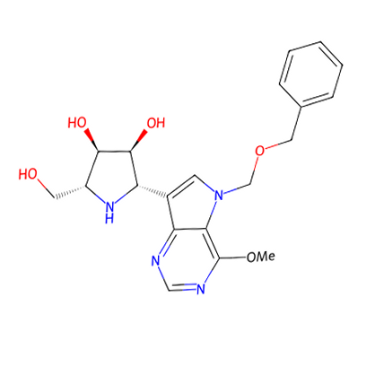 COc1ncnc2c([C@@H]3N[C@H](CO)[C@@H](O)[C@H]3O)cn(COCc3ccccc3)c12